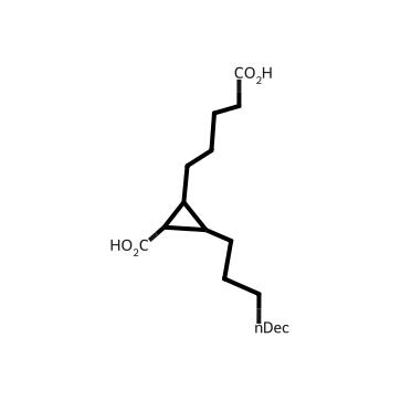 CCCCCCCCCCCCCC1C(CCCCC(=O)O)C1C(=O)O